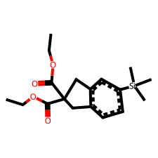 CCOC(=O)C1(C(=O)OCC)Cc2ccc([Si](C)(C)C)cc2C1